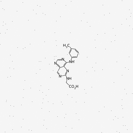 Cc1cccc(Nc2ncnc3cnc(NCC(=O)O)nc23)c1